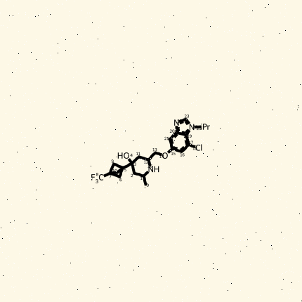 CC1CC(O)(C23CC(C(F)(F)F)(C2)C3)CC(COc2cc(Cl)c3c(c2)ncn3C(C)C)N1